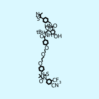 Cc1ncsc1-c1ccc(CNC(=O)[C@@H]2C[C@@H](O)CC2C(O)[C@@H](NC(=O)c2ccc(OCCOCCCOc3ccc(N4C(=S)N(c5ccc(C#N)c(C(F)(F)F)c5)C(=O)C4(C)C)cc3)cc2)C(C)(C)C)cc1